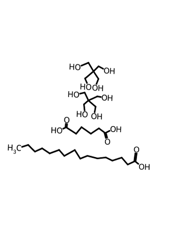 CCCCCCCCCCCCCCCC(=O)O.O=C(O)CCCCC(=O)O.OCC(CO)(CO)CO.OCC(CO)(CO)CO